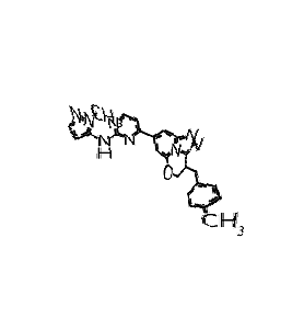 Cc1ccc(CC2COc3cc(-c4ccnc(Nc5ccnn5C)n4)cc4nnc2n34)cc1